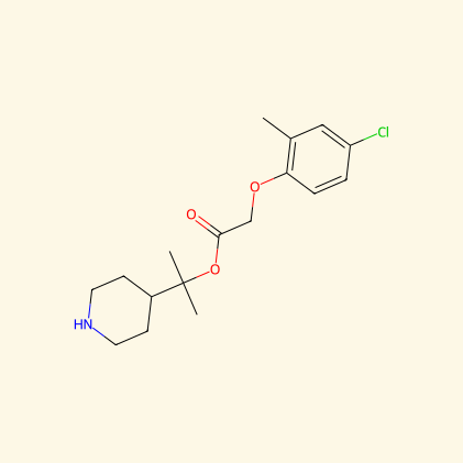 Cc1cc(Cl)ccc1OCC(=O)OC(C)(C)C1CCNCC1